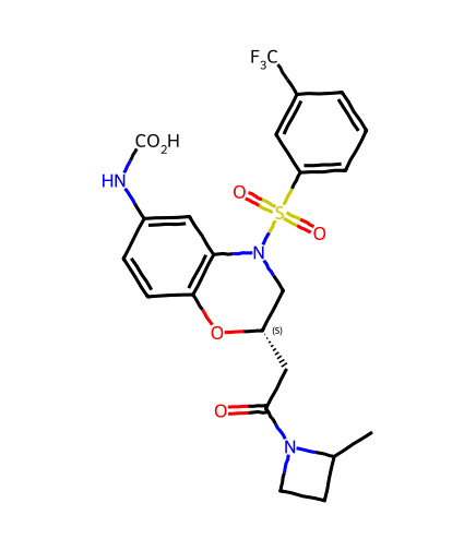 CC1CCN1C(=O)C[C@H]1CN(S(=O)(=O)c2cccc(C(F)(F)F)c2)c2cc(NC(=O)O)ccc2O1